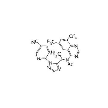 CC(=O)N(c1ncnc2c(C(F)(F)F)cc(C(F)(F)F)cc12)C(C)c1ncnn1-c1ccc(C#N)cn1